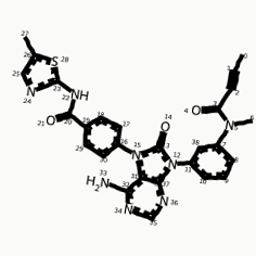 CC#CC(=O)N(C)c1cccc(-n2c(=O)n(-c3ccc(C(=O)Nc4ncc(C)s4)cc3)c3c(N)ncnc32)c1